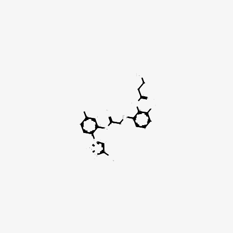 CC(C)(C)CCC(=O)Oc1c(F)cccc1NCC(=O)Nc1cc(Cl)ccc1-n1cc(Cl)nn1